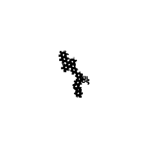 CC1(C)c2ccc(-c3ccc(-c4c5ccccc5c(-c5ccc6ccccc6c5)c5ccccc45)cc3)cc2-c2cc3ccc4c5ccccc5sc4c3cc21